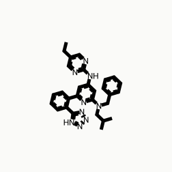 CCc1cnc(Nc2cc(-c3ccccc3-c3nnn[nH]3)nc(N(Cc3ccccc3)CC(C)C)c2)nc1